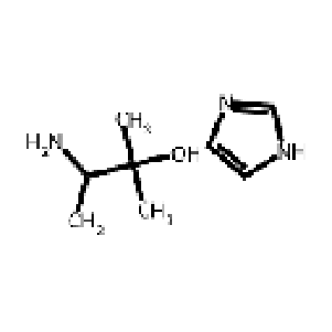 CC(N)C(C)(C)O.c1c[nH]cn1